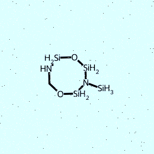 [SiH3]N1[SiH2]OCN[SiH2]O[SiH2]1